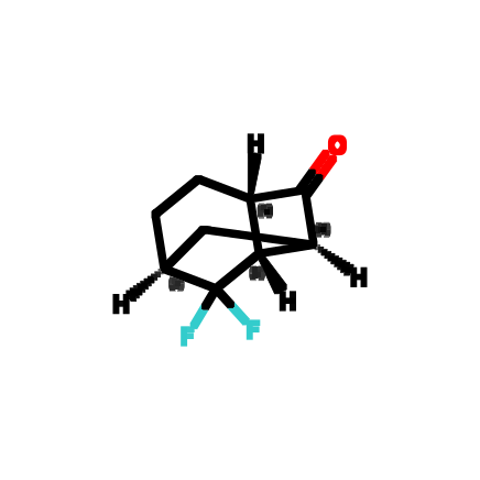 O=C1[C@H]2CC[C@H]3C[C@@H]1[C@@H]2C3(F)F